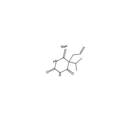 C=CCC1(C(C)C)C(=O)NC(=O)NC1=O.[NaH]